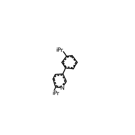 CC(C)c1cccc(-c2ccc(C(C)C)nc2)c1